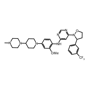 COc1cc(N2CCC(N3CCN(C)CC3)CC2)ccc1Nc1cc(N2OCCC2c2cccc(C(F)(F)F)c2)ncn1